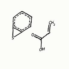 C=CC(=O)O.c1ccc2c(c1)S2